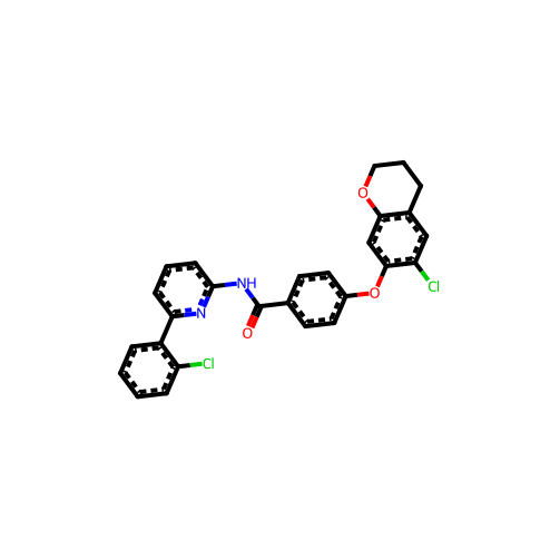 O=C(Nc1cccc(-c2ccccc2Cl)n1)c1ccc(Oc2cc3c(cc2Cl)CCCO3)cc1